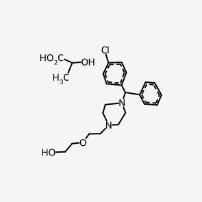 CC(O)C(=O)O.OCCOCCN1CCN(C(c2ccccc2)c2ccc(Cl)cc2)CC1